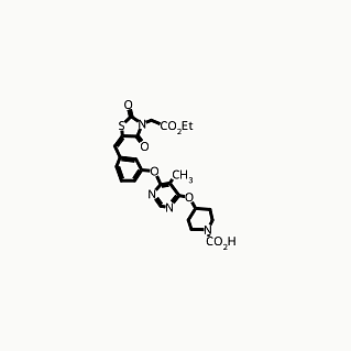 CCOC(=O)CN1C(=O)SC(=Cc2cccc(Oc3ncnc(OC4CCN(C(=O)O)CC4)c3C)c2)C1=O